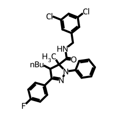 CCCCC1C(c2ccc(F)cc2)=NN(c2ccccc2)C1(C)C(=O)NCc1cc(Cl)cc(Cl)c1